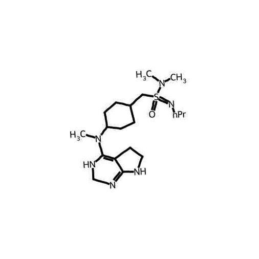 CCCN=S(=O)(CC1CCC(N(C)C2=C3CCNC3=NCN2)CC1)N(C)C